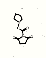 O=C1CCC(=O)N1C(=O)ON1CCCC1